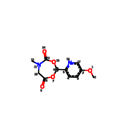 COc1ccc(B2OC(=O)CN(C)C(=O)O2)nc1